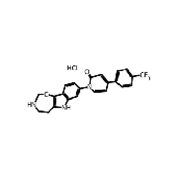 Cl.O=c1cc(-c2ccc(C(F)(F)F)cc2)ccn1-c1ccc2c3c([nH]c2c1)CCNCC3